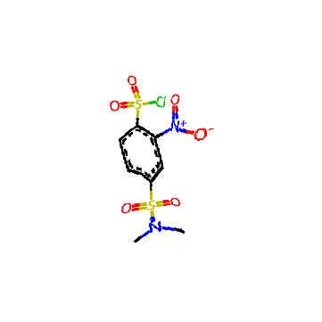 CN(C)S(=O)(=O)c1ccc(S(=O)(=O)Cl)c([N+](=O)[O-])c1